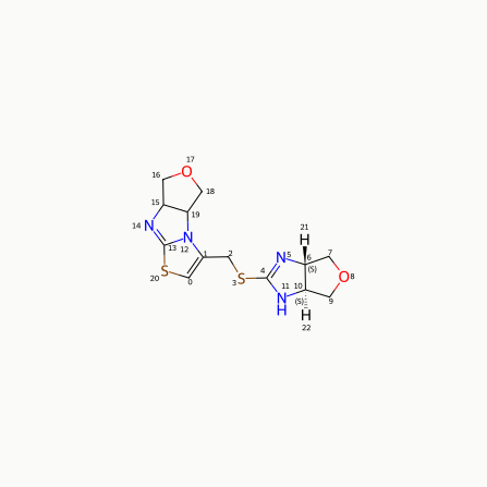 C1=C(CSC2=N[C@@H]3COC[C@H]3N2)N2C(=NC3COCC32)S1